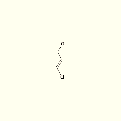 [O]C/C=C/Cl